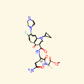 COC(=O)[C@H](C)NC(=O)[C@@H](CC(N)=O)NC(=O)c1cn(C2CC2)c2cc(N3CCNCC3)c(F)cc2c1=O